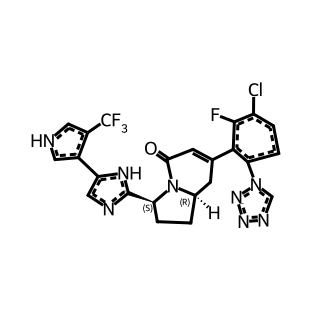 O=C1C=C(c2c(-n3cnnn3)ccc(Cl)c2F)C[C@H]2CC[C@@H](c3ncc(-c4c[nH]cc4C(F)(F)F)[nH]3)N12